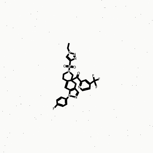 CCn1cc(S(=O)(=O)N2CCC3=Cc4c(cnn4-c4ccc(F)cc4)CC3(C(=O)c3cc(C(F)(F)F)ccn3)C2)nn1